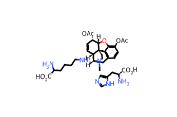 CC(=O)Oc1ccc2c3c1O[C@H]1[C@@H](OC(C)=O)C=C[C@H]4[C@@H](C2)N(C)CC[C@@]341.NCCCCC(N)C(=O)O.N[C@@H](Cc1cnc[nH]1)C(=O)O